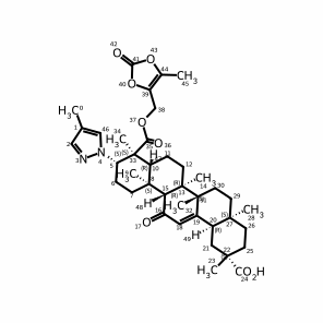 Cc1cnn([C@H]2CC[C@@]3(C)[C@@H](CC[C@]4(C)[C@@H]3C(=O)C=C3[C@@H]5C[C@@](C)(C(=O)O)CC[C@]5(C)CC[C@]34C)[C@]2(C)C(=O)OCc2oc(=O)oc2C)c1